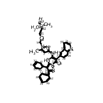 Cc1cc(Nc2[nH]c3c(-c4ccccc4)c(-c4ccccc4)nn3c(=O)c2-c2ccc3ncccc3c2)nn1COCC[Si](C)(C)C